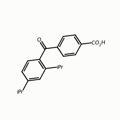 CC(C)c1ccc(C(=O)c2ccc(C(=O)O)cc2)c(C(C)C)c1